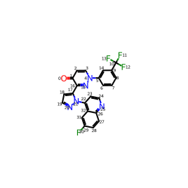 O=c1ccn(-c2cccc(C(F)(F)F)c2)nc1-c1ccnn1-c1ccnc2ccc(F)cc12